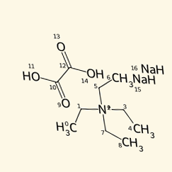 CC[N+](CC)(CC)CC.O=C(O)C(=O)O.[NaH].[NaH]